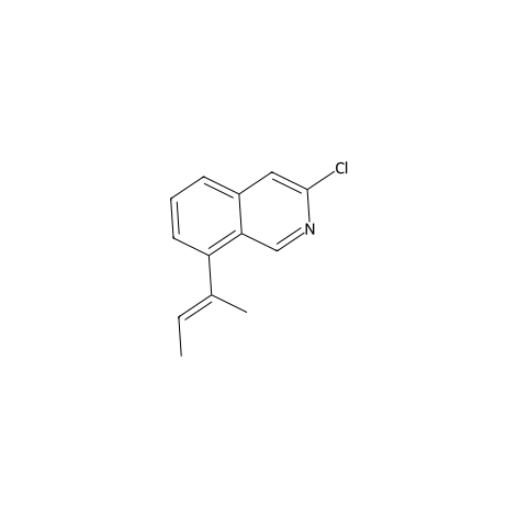 C/C=C(\C)c1cccc2cc(Cl)ncc12